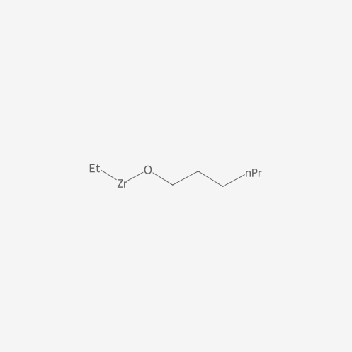 CCCCCC[O][Zr][CH2]C